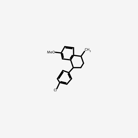 COc1ccc2c(c1)C(c1ccc(Cl)cc1)CCC2C